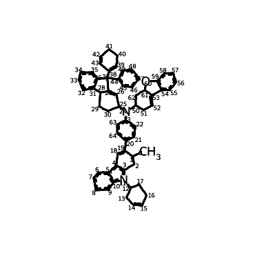 CC1Cc2c(c3ccccc3n2C2CC=CCC2)C=C1c1ccc(N(C2C=C3C(CC2)c2ccccc2C3(C2=CCCC=C2)c2ccccc2)C2CC=C3c4ccccc4OC3C2)cc1